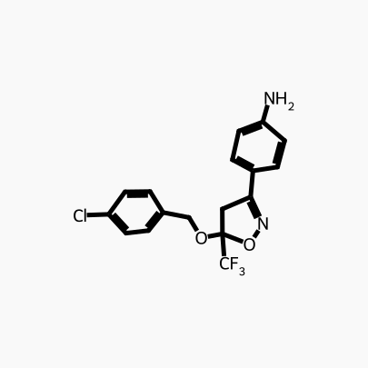 Nc1ccc(C2=NOC(OCc3ccc(Cl)cc3)(C(F)(F)F)C2)cc1